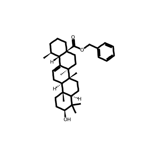 C[C@H]1CCC[C@]2(C(=O)OCc3ccccc3)CC[C@]3(C)C(=CC[C@@H]4[C@@]5(C)CC[C@H](O)C(C)(C)[C@@H]5CC[C@]43C)[C@H]12